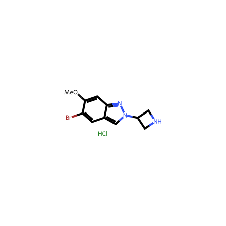 COc1cc2nn(C3CNC3)cc2cc1Br.Cl